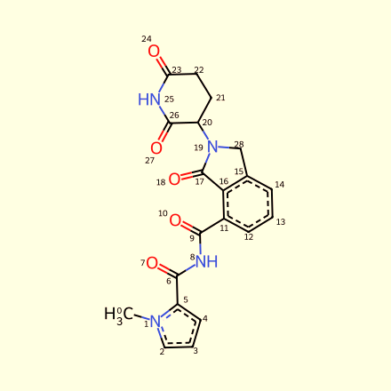 Cn1cccc1C(=O)NC(=O)c1cccc2c1C(=O)N(C1CCC(=O)NC1=O)C2